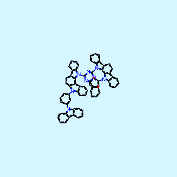 c1ccc(-c2nc(-n3c4ccccc4c4ccc5c(c6ccccc6n5-c5cccc(-n6c7ccccc7c7ccccc76)c5)c43)nc(-n3c4ccccc4c4ccc5c6ccccc6n(-c6ccccc6)c5c43)n2)cc1